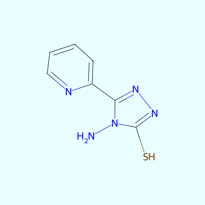 Nn1c(S)nnc1-c1ccccn1